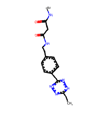 CCCCNC(=O)CC(=O)NCc1ccc(-c2nnc(C)nn2)cc1